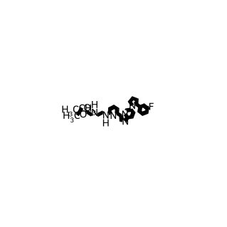 CC(C)(C)OC(=O)CNCCNc1cccc(-c2cnc3ccc(N4CCCC4c4cccc(F)c4)cn23)n1